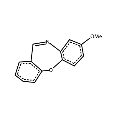 COc1ccc2c(c1)N=Cc1ccccc1O2